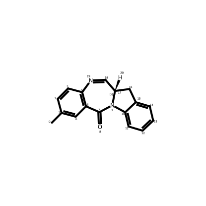 Cc1ccc2c(c1)C(=O)N1c3ccccc3C[C@H]1C=N2